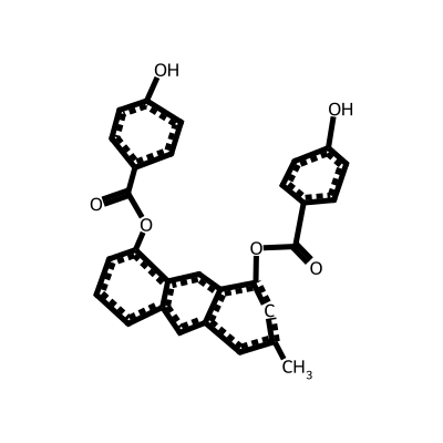 Cc1cc(OC(=O)c2ccc(O)cc2)c2cc3c(OC(=O)c4ccc(O)cc4)cccc3cc2c1